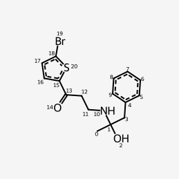 CC(O)(Cc1ccccc1)NCCC(=O)c1ccc(Br)s1